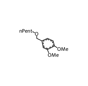 [CH2]CCCCOCc1ccc(OC)c(OC)c1